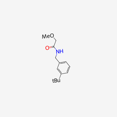 COCC(=O)NCc1cccc(C(C)(C)C)c1